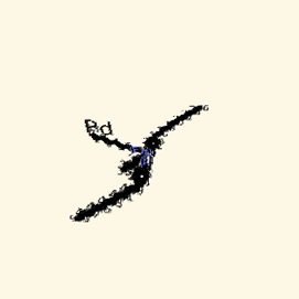 CCCCCCC/C=C/C(=N\c1ccc(CCCCCCCCCCCC)cc1)C(/CCCC)=N/c1ccc(CCCCCCCCCCCC)cc1.[Pd]